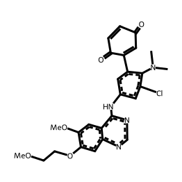 COCCOc1cc2ncnc(Nc3cc(Cl)c(N(C)C)c(C4=CC(=O)C=CC4=O)c3)c2cc1OC